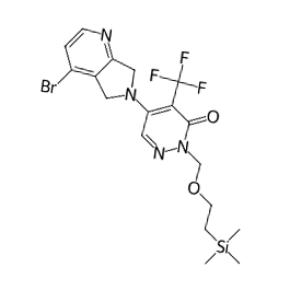 C[Si](C)(C)CCOCn1ncc(N2Cc3nccc(Br)c3C2)c(C(F)(F)F)c1=O